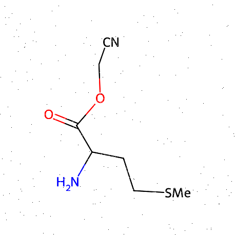 CSCCC(N)C(=O)OCC#N